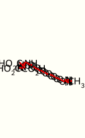 Cc1nnc(-c2ccc(OCCOCCOCCOCCOCCOCCOCCOCCOCCOCCOCCOCCC(=O)Nc3ccc(CC4CN(CC(=O)O)CCN(CC(=O)O)CCN4CC(=O)O)cc3)cc2)nn1